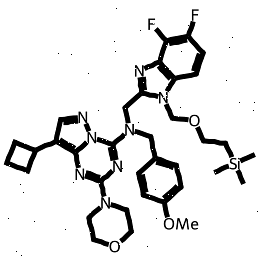 COc1ccc(CN(Cc2nc3c(F)c(F)ccc3n2COCC[Si](C)(C)C)c2nc(N3CCOCC3)nc3c(C4CCC4)cnn23)cc1